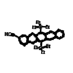 C#Cc1ccc2cc3c([Si](CC)(CC)CC)c4cc5ccccc5cc4c([Si](CC)(CC)CC)c3cc2c1